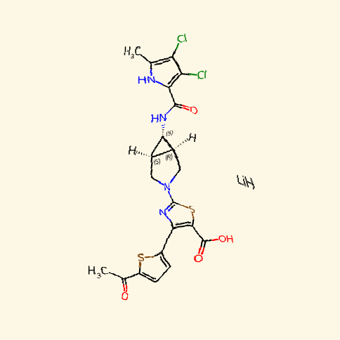 CC(=O)c1ccc(-c2nc(N3C[C@@H]4[C@H](C3)[C@H]4NC(=O)c3[nH]c(C)c(Cl)c3Cl)sc2C(=O)O)s1.[LiH]